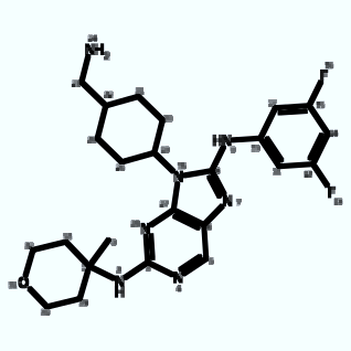 CC1(Nc2ncc3nc(Nc4cc(F)cc(F)c4)n(C4CCC(CN)CC4)c3n2)CCOCC1